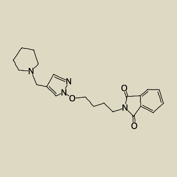 O=C1c2ccccc2C(=O)N1CCCCOn1cc(CN2CCCCC2)cn1